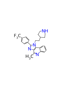 Cc1nc2ccccc2c2c1nc(-c1ccc(C(F)(F)F)cc1)n2CCC1CCNCC1